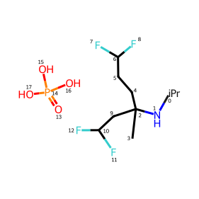 CC(C)NC(C)(CCC(F)F)CC(F)F.O=P(O)(O)O